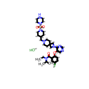 CCN(C(=O)c1cc(F)ccc1Oc1cncnc1N1CC2(CCN(CC3CCN(S(=O)(=O)N4CCNCC4)CC3)CC2)C1)C(C)C.Cl